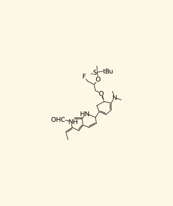 C=C1NC(C2=CC=C(N(C)C)[C@H](OCC(CF)O[Si](C)(C)C(C)(C)C)C2)C=C/C1=C/C(=C\C)NC=O